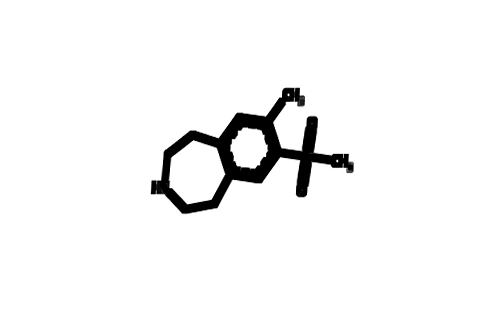 Cc1cc2c(cc1S(C)(=O)=O)CCNCC2